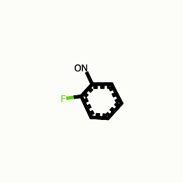 O=Nc1ccccc1F